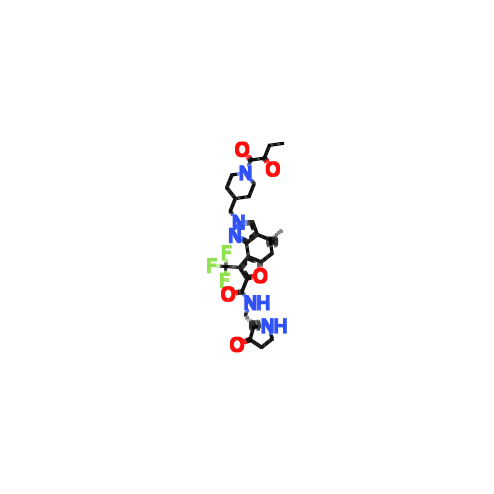 CCC(=O)C(=O)N1CCC(Cn2cc3c(n2)-c2c(oc(C(=O)NC[C@@H]4NCCC4=O)c2C(F)(F)F)C[C@H]3C)CC1